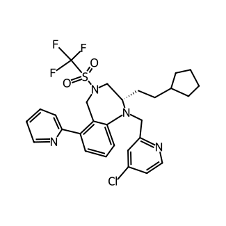 O=S(=O)(N1Cc2c(-c3ccccn3)cccc2N(Cc2cc(Cl)ccn2)[C@@H](CCC2CCCC2)C1)C(F)(F)F